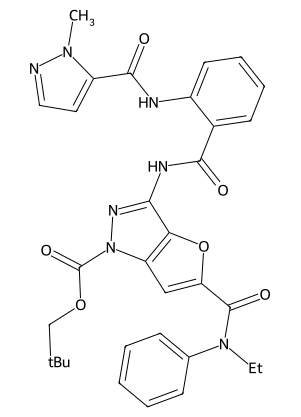 CCN(C(=O)c1cc2c(o1)c(NC(=O)c1ccccc1NC(=O)c1ccnn1C)nn2C(=O)OCC(C)(C)C)c1ccccc1